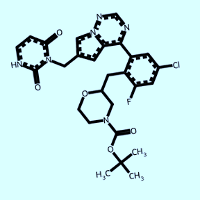 CC(C)(C)OC(=O)N1CCOC(Cc2c(F)cc(Cl)cc2-c2ncnn3cc(Cn4c(=O)cc[nH]c4=O)cc23)C1